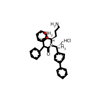 C[C@H](c1ccc(-c2ccccc2)cc1)N(C(=O)C(c1ccccc1)c1ccccc1)[C@H](CCCN)C(N)=O.Cl